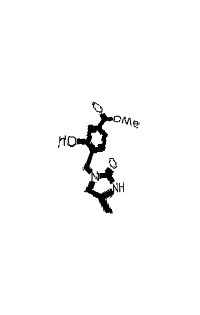 COC(=O)c1ccc(CN2CC(C)NC2=O)c(O)c1